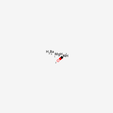 [BaH2].[MgH2].[O]=[AlH]